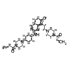 C=CC(=O)N1CCN(CCn2c(=O)ccc3cnc(Nc4ccc(N5CCN(C(=O)CC(C)C)CC5)cc4)nc32)CC1